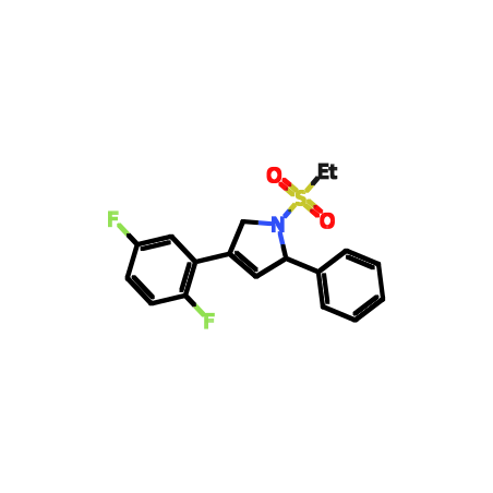 CCS(=O)(=O)N1CC(c2cc(F)ccc2F)=CC1c1ccccc1